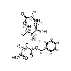 C[C@@H](O)[C@H](N)C(=O)O.C[C@H](N)C(=O)O.C[C@H](NC(=O)OCc1ccccc1)C(=O)O